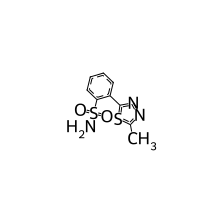 Cc1nnc(-c2ccccc2S(N)(=O)=O)s1